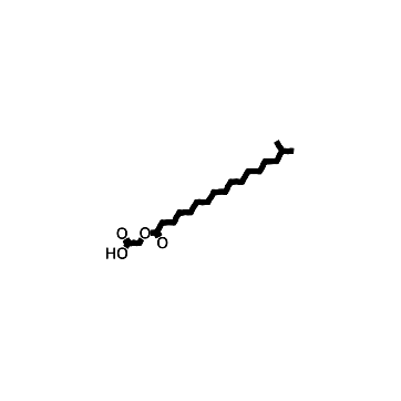 CC(C)CCCCCCCCCCCCCCC(=O)OCC(=O)O